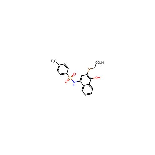 O=C(O)CSc1cc(NS(=O)(=O)c2ccc(C(F)(F)F)cc2)c2ccccc2c1O